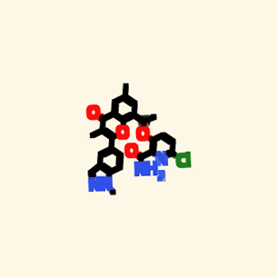 Cc1cc([C@@H](C)Oc2ccc(Cl)nc2C(N)=O)c2oc(-c3ccc4c(cnn4C)c3)c(C)c(=O)c2c1